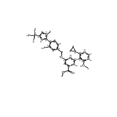 COC(=O)c1cc(OCc2ccc(-c3nc(C(F)(F)F)cn3C)c(F)c2)nc(-c2c(OC)ncnc2C2CC2)n1